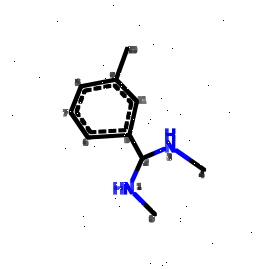 CNC(NC)c1cccc(C)c1